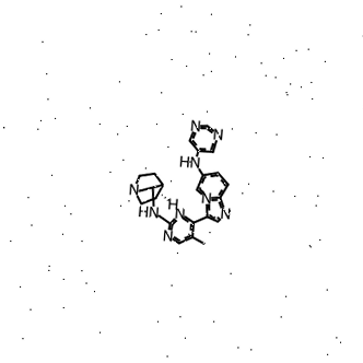 Cc1cnc(N[C@H]2CN3CCC2CC3)nc1-c1cnc2ccc(Nc3cncnc3)cn12